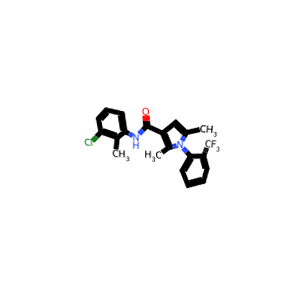 Cc1c(Cl)cccc1NC(=O)c1cc(C)n(-c2ccccc2C(F)(F)F)c1C